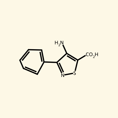 Nc1c(-c2ccccc2)nsc1C(=O)O